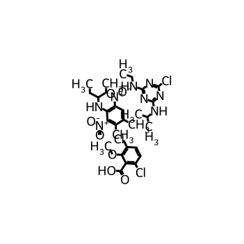 CCC(CC)Nc1c([N+](=O)[O-])cc(C)c(C)c1[N+](=O)[O-].CCNc1nc(Cl)nc(NC(C)C)n1.COc1c(Cl)ccc(Cl)c1C(=O)O